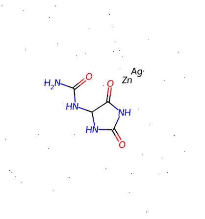 NC(=O)NC1NC(=O)NC1=O.[Ag].[Zn]